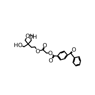 O=C(COC(=O)c1ccc(C(=O)c2ccccc2)cc1)OCCC(CO)(CO)CO